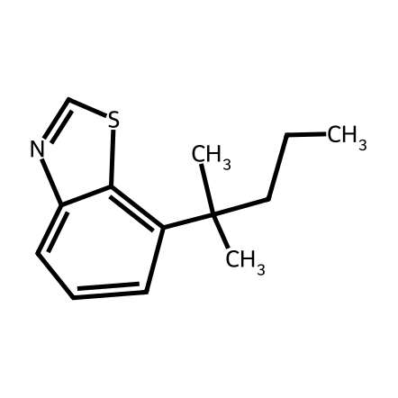 CCCC(C)(C)c1cccc2ncsc12